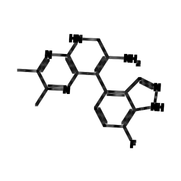 Cc1nc2c(nc1C)C(c1ccc(F)c3[nH]ncc13)=C(N)CN2